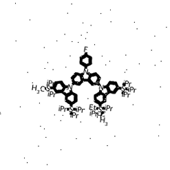 CC[SH](C)(c1ccc2c(c1)c1cc(S(C(C)C)(C(C)C)C(C)C)ccc1n2-c1ccc2c(c1)c1cc(-n3c4ccc(S(C)(C(C)C)C(C)C)cc4c4cc(S(C(C)C)(C(C)C)C(C)C)ccc43)ccc1n2-c1ccc(F)cc1)(C(C)C)C(C)C